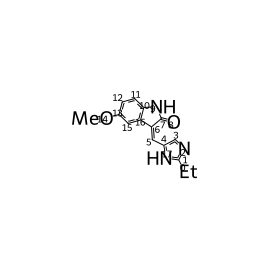 CCc1ncc(/C=C2\C(=O)Nc3ccc(OC)cc32)[nH]1